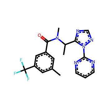 Cc1cc(C(=O)N(C)C(C)c2ncnn2-c2ncccn2)cc(C(F)(F)F)c1